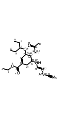 CCOC(=O)C1=C[C@@H](OC(CC)CC)[C@H](NC(C)=O)[C@@H](NC=NNC#N)C1